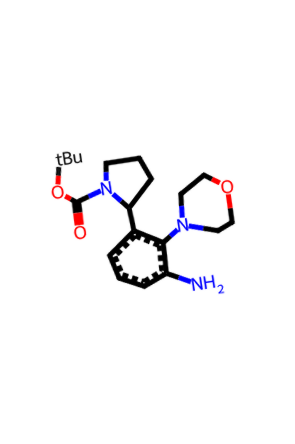 CC(C)(C)OC(=O)N1CCCC1c1cccc(N)c1N1CCOCC1